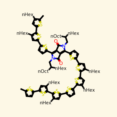 CCCCCCCCC(CCCCCC)CN1C(=O)C2=C(c3ccc(-c4cc(CCCCCC)c(-c5cc(CCCCCC)c(-c6ccc(-c7cc(CCCCCC)c(-c8sc(-c9ccc(C)s9)cc8CCCCCC)s7)s6)s5)s4)s3)N(CC(CCCCCC)CCCCCCCC)C(=O)C2=C1c1ccc(-c2cc(CCCCCC)c(-c3cc(CCCCCC)c(C)s3)s2)s1